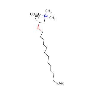 CCCCCCCCCCCCCCCCCCCCCCO[C@H](CC(=O)O)C[N+](C)(C)C